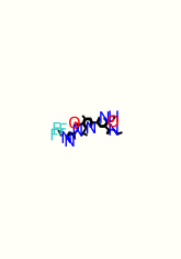 C=C(NCC)c1cc(-c2cc(C)c3c(n2)C(C)(C)N(c2cnn(CC(F)(F)F)c2)C3=O)cnc1OC